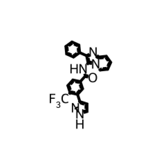 O=C(Nc1c(-c2ccccc2)nc2ccccn12)c1ccc(C(F)(F)F)c(-c2cc[nH]n2)c1